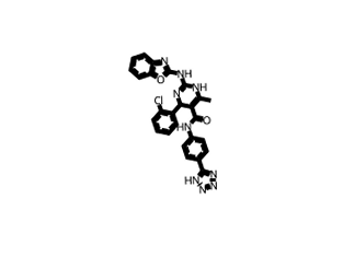 CC1=C(C(=O)Nc2ccc(-c3nnn[nH]3)cc2)C(c2ccccc2Cl)N=C(Nc2nc3ccccc3o2)N1